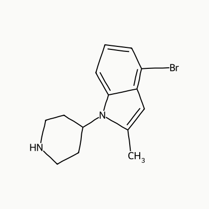 Cc1cc2c(Br)cccc2n1C1CCNCC1